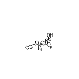 O=C(O)Cn1c2c(c3cc(F)ccc31)C[C@@H](NC(=O)C=Cc1ccc3ccccc3c1)CC2